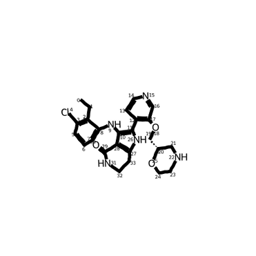 CCc1c(Cl)cccc1Nc1c(-c2ccncc2OC[C@@H]2CNCCO2)[nH]c2c1C(=O)NCC2